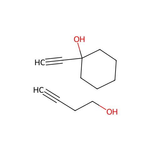 C#CC1(O)CCCCC1.C#CCCO